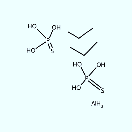 CCC.CCC.OP(O)(O)=S.OP(O)(O)=S.[AlH3]